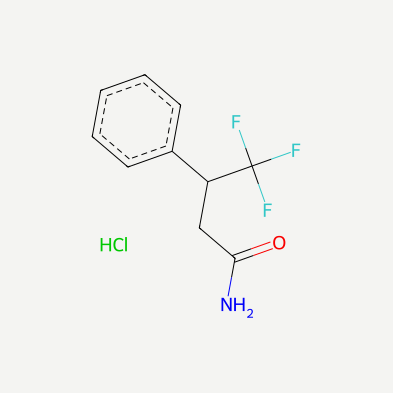 Cl.NC(=O)CC(c1ccccc1)C(F)(F)F